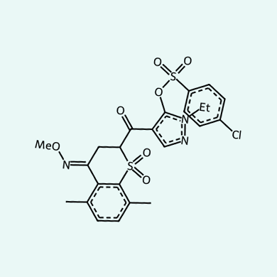 CCn1ncc(C(=O)C2CC(=NOC)c3c(C)ccc(C)c3S2(=O)=O)c1OS(=O)(=O)c1ccc(Cl)cc1